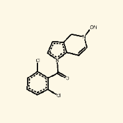 O=C(c1c(Cl)cccc1Cl)n1ccc2c1C=CN(O)C2